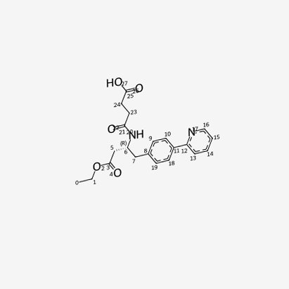 CCOC(=O)C[C@@H](Cc1ccc(-c2ccccn2)cc1)NC(=O)CCC(=O)O